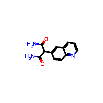 NC(=O)C(C(N)=O)c1ccc2ncccc2c1